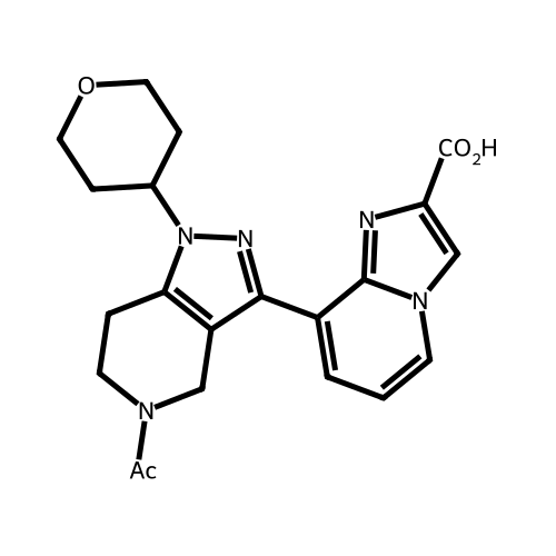 CC(=O)N1CCc2c(c(-c3cccn4cc(C(=O)O)nc34)nn2C2CCOCC2)C1